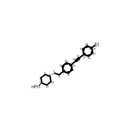 CCC[C@H]1CC[C@H](CCc2ccc(C#Cc3ccc(CC)cc3)cc2)CC1